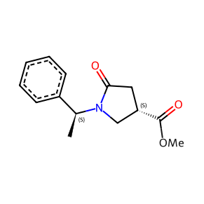 COC(=O)[C@H]1CC(=O)N([C@@H](C)c2ccccc2)C1